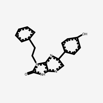 O=c1[nH]c2ncc(-c3ccc(O)cc3)nc2n1CCc1ccccc1